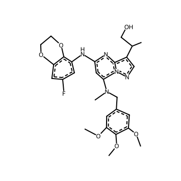 COc1cc(CN(C)c2cc(Nc3cc(F)cc4c3OCCO4)nc3c(C(C)CO)cnn23)cc(OC)c1OC